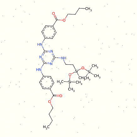 CCCCOC(=O)c1ccc(Nc2nc(NCC[Si](C)(O[Si](C)(C)C)O[Si](C)(C)C)nc(Nc3ccc(C(=O)OCCCC)cc3)n2)cc1